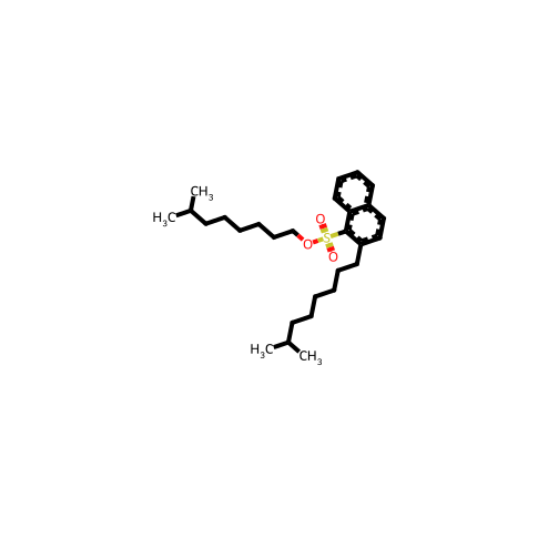 CC(C)CCCCCCOS(=O)(=O)c1c(CCCCCCC(C)C)ccc2ccccc12